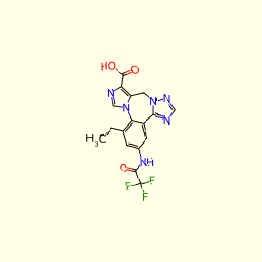 CCc1cc(NC(=O)C(F)(F)F)cc2c1-n1cnc(C(=O)O)c1Cn1ncnc1-2